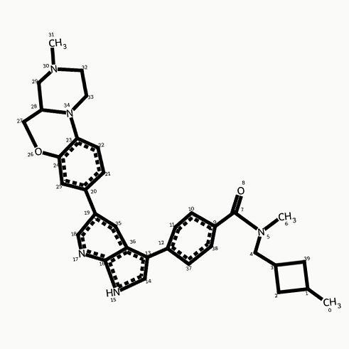 CC1CC(CN(C)C(=O)c2ccc(-c3c[nH]c4ncc(-c5ccc6c(c5)OCC5CN(C)CCN65)cc34)cc2)C1